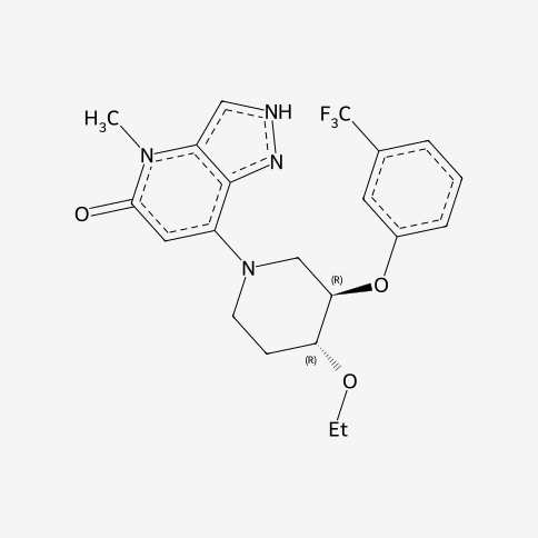 CCO[C@@H]1CCN(c2cc(=O)n(C)c3c[nH]nc23)C[C@H]1Oc1cccc(C(F)(F)F)c1